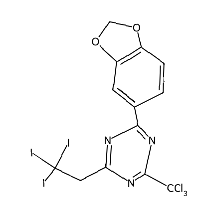 ClC(Cl)(Cl)c1nc(CC(I)(I)I)nc(-c2ccc3c(c2)OCO3)n1